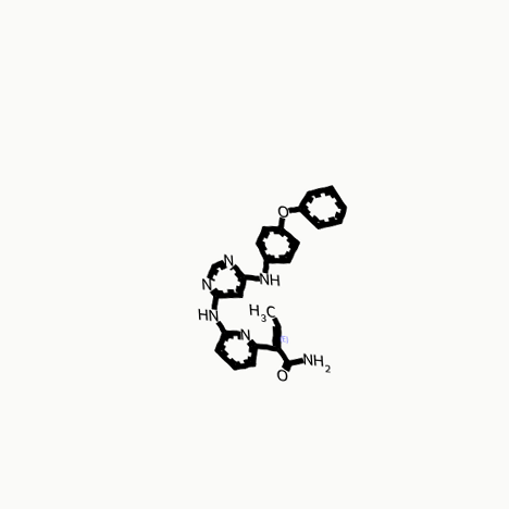 C/C=C(/C(N)=O)c1cccc(Nc2cc(Nc3ccc(Oc4ccccc4)cc3)ncn2)n1